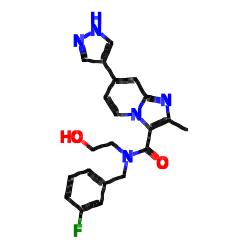 Cc1nc2cc(-c3cn[nH]c3)ccn2c1C(=O)N(CCO)Cc1cccc(F)c1